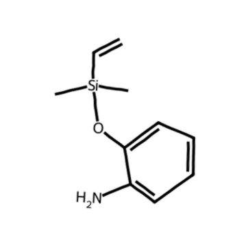 C=C[Si](C)(C)Oc1ccccc1N